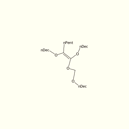 CCCCCCCCCCOCOC(OCCCCCCCCCC)=C(CCCCC)OCCCCCCCCCC